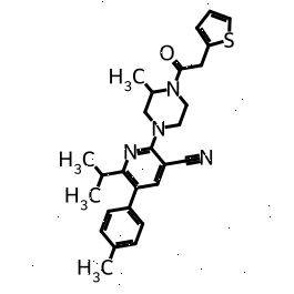 Cc1ccc(-c2cc(C#N)c(N3CCN(C(=O)Cc4cccs4)C(C)C3)nc2C(C)C)cc1